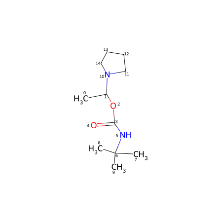 CC(OC(=O)NC(C)(C)C)N1CCCC1